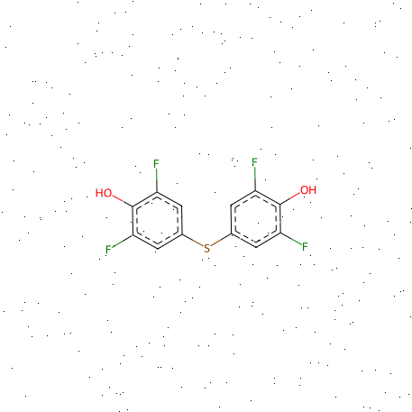 Oc1c(F)cc(Sc2cc(F)c(O)c(F)c2)cc1F